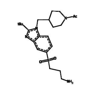 CC(=O)N1CCC(Cn2c(C(C)(C)C)nc3cc(S(=O)(=O)CCCN)ccc32)CC1